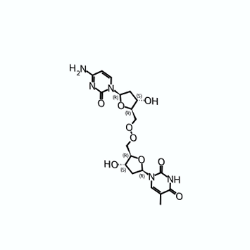 Cc1cn([C@H]2C[C@H](O)[C@@H](COOC[C@H]3O[C@@H](n4ccc(N)nc4=O)C[C@@H]3O)O2)c(=O)[nH]c1=O